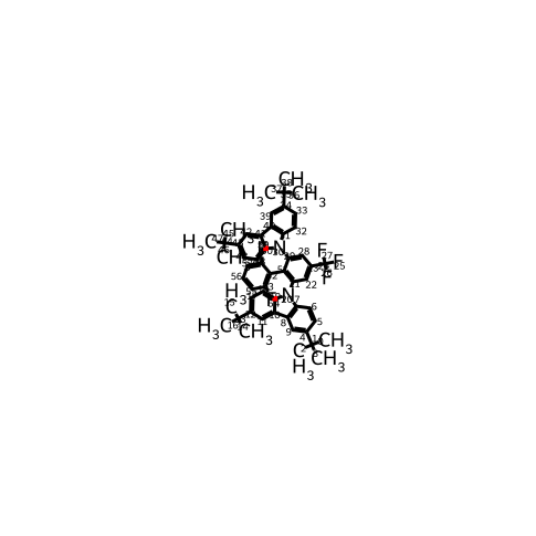 CC(C)(C)c1ccc2c(c1)c1cc(C(C)(C)C)ccc1n2-c1cc(C(F)(F)F)cc(-n2c3ccc(C(C)(C)C)cc3c3cc(C(C)(C)C)ccc32)c1-c1c(F)cccc1F